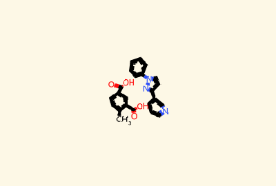 Cc1ccc(C(=O)O)cc1C(=O)O.c1ccc(-n2ccc(-c3cccnc3)n2)cc1